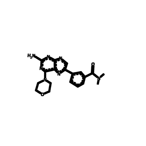 CN(C)C(=O)c1cccc(-c2cnc3nc(N)nc(N4CCOCC4)c3n2)c1